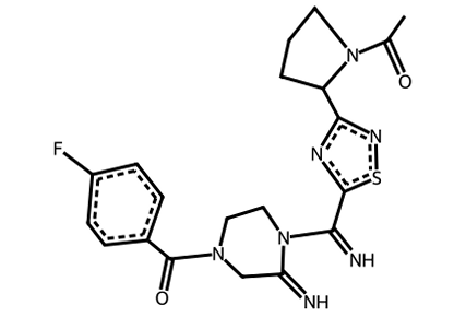 CC(=O)N1CCCC1c1nsc(C(=N)N2CCN(C(=O)c3ccc(F)cc3)CC2=N)n1